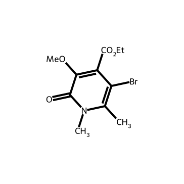 CCOC(=O)c1c(Br)c(C)n(C)c(=O)c1OC